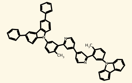 Cc1ccc(-n2c3ccccc3c3ccccc32)cc1-c1cc(-c2ccnc(-c3cc(-n4c5ccc(-c6ccccc6)cc5c5cc(-c6ccccc6)ccc54)ccc3C)c2)ccn1